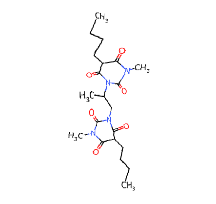 CCCCC1C(=O)N(C)C(=O)N(CC(C)N2C(=O)C(CCCC)C(=O)N(C)C2=O)C1=O